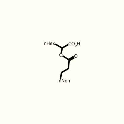 CCCCCCCCCCCC(=O)OC(CCCCCC)C(=O)O